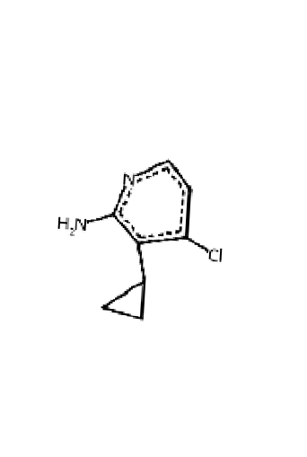 Nc1nccc(Cl)c1C1CC1